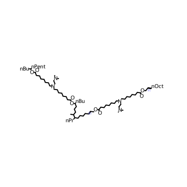 CCCCCCCC/C=C/COC(=O)CCCCCCCN(CCCCCCCC(=O)OC/C=C/CCCCC(CCC)C(C)CCCC(CCCC)OC(=O)CCCCCCCN(CCCCCCCC(=O)OC(CCCC)CCCCC)CCN(C)C)CCN(C)C